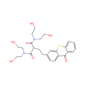 O=C(C(CCc1ccc2c(=O)c3ccccc3sc2c1)C(=O)N(CCO)CCO)N(CCO)CCO